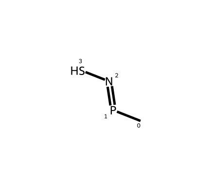 C/P=N/S